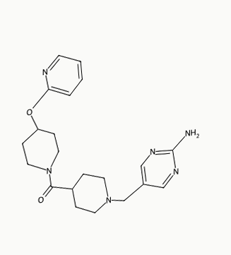 Nc1ncc(CN2CCC(C(=O)N3CCC(Oc4ccccn4)CC3)CC2)cn1